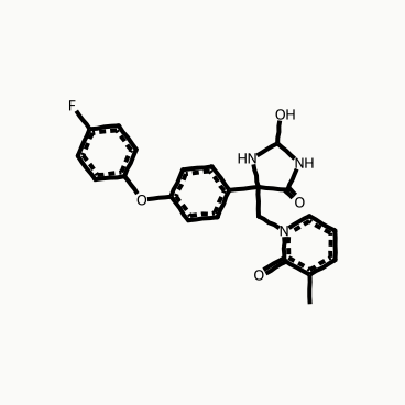 Cc1cccn(CC2(c3ccc(Oc4ccc(F)cc4)cc3)NC(O)NC2=O)c1=O